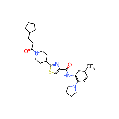 O=C(Nc1cc(C(F)(F)F)ccc1N1CCCC1)c1csc(C2CCN(C(=O)CCC3CCCC3)CC2)n1